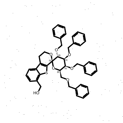 OCc1cccc2c3c(sc12)[C@@]1(OCC3)O[C@H](COCc2ccccc2)[C@H](OCc2ccccc2)[C@H](OCc2ccccc2)[C@H]1OCc1ccccc1